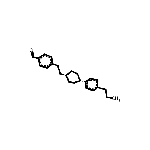 CCCc1ccc([C@H]2CC[C@H](CCc3ccc(C=O)cc3)CC2)cc1